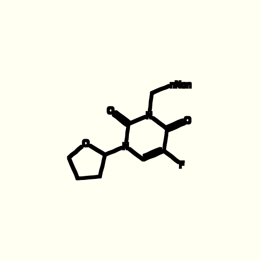 CCCCCCCCCCn1c(=O)c(F)cn(C2CCCO2)c1=O